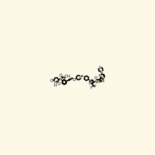 Cn1c(=O)n(C2CCC(=O)NC2=O)c2cccc(C#CCOC3CCN(C[C@H]4CC[C@H](n5cc(NC(=O)c6cnn7ccc(N8CCSCC8)nc67)c(C(F)F)n5)CC4)CC3)c21